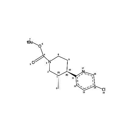 C[C@@H]1CN(C(=O)OC(C)(C)C)CC[C@H]1c1ccc(Cl)cn1